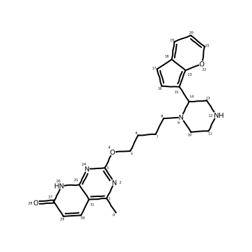 Cc1nc(OCCCCN2CCNCC2c2ccc3cccoc2-3)nc2[nH]c(=O)ccc12